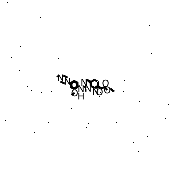 CCOC(=O)c1onc2c1CCc1cnc(Nc3ccc(N4CCN(C)CC4)cc3OC)nc1-2